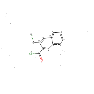 O=C(Cl)c1cc2ccccc2cc1CCl